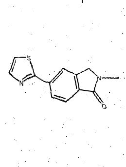 CN1Cc2cc(-c3nccs3)ccc2C1=O